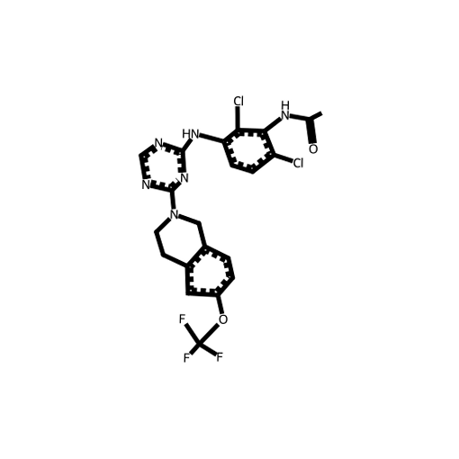 CC(=O)Nc1c(Cl)ccc(Nc2ncnc(N3CCc4cc(OC(F)(F)F)ccc4C3)n2)c1Cl